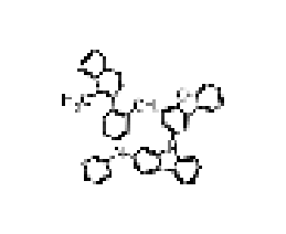 Cc1cc(N(c2ccccc2)c2ccc3c4ccccc4n(-c4ccc5oc6ccccc6c5c4)c3c2)ccc1-c1ccc2ccccc2c1C